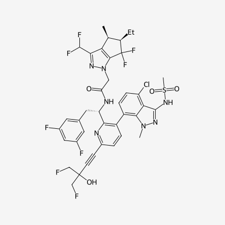 CC[C@@H]1[C@H](C)c2c(C(F)F)nn(CC(=O)N[C@@H](Cc3cc(F)cc(F)c3)c3nc(C#CC(O)(CF)CF)ccc3-c3ccc(Cl)c4c(NS(C)(=O)=O)nn(C)c34)c2C1(F)F